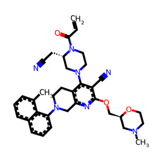 C=CC(=O)N1CCN(c2c(C#N)c(OC[C@@H]3CN(C)CCO3)nc3c2CCN(c2cccc4cccc(C)c24)C3)C[C@@H]1CC#N